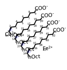 CCCCCCCC/C=C\CCCCCCCC(=O)[O-].CCCCCCCC/C=C\CCCCCCCC(=O)[O-].CCCCCCCC/C=C\CCCCCCCC(=O)[O-].CCCCCCCC/C=C\CCCCCCCC(=O)[O-].[Cu+2].[Fe+2]